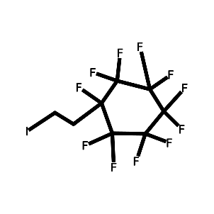 FC1(F)C(F)(F)C(F)(F)C(F)(CCI)C(F)(F)C1(F)F